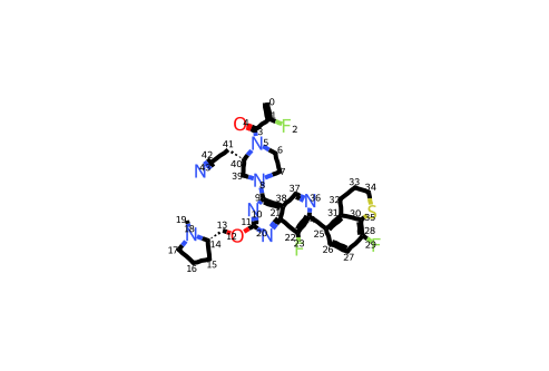 C=C(F)C(=O)N1CCN(c2nc(OC[C@@H]3CCCN3C)nc3c(F)c(-c4ccc(F)c5c4CCCS5)ncc23)C[C@@H]1CC#N